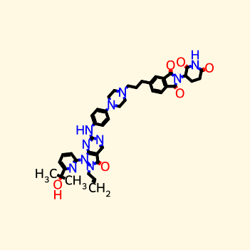 C=CCn1c(=O)c2cnc(Nc3ccc(N4CCN(CCCc5ccc6c(c5)C(=O)N(C5CCC(=O)NC5=O)C6=O)CC4)cc3)nc2n1-c1cccc(C(C)(C)O)n1